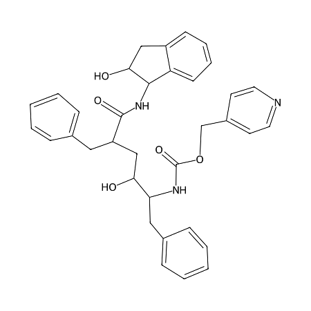 O=C(NC(Cc1ccccc1)C(O)CC(Cc1ccccc1)C(=O)NC1c2ccccc2CC1O)OCc1ccncc1